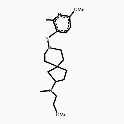 COCCN(C)C1CCC2(CCN(Sc3ccc(OC)nc3C)CC2)C1